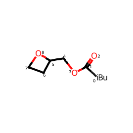 CCC(C)C(=O)OCC1CCO1